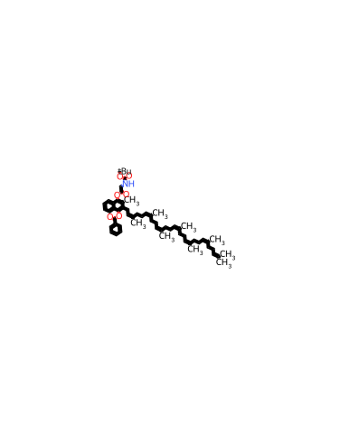 CC(C)=CCCC(C)=CCCC(C)=CCCC(C)=CCCC(C)=CCCC(C)=CCCC(C)=CCc1c(C)c(OC(=O)CNC(=O)OC(C)(C)C)c2ccccc2c1OC(=O)c1ccccc1